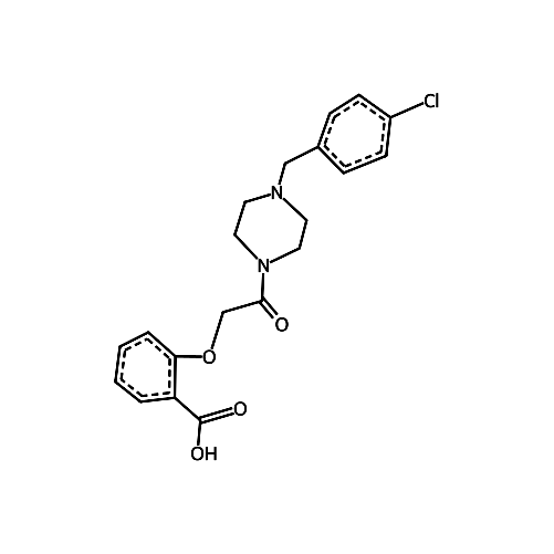 O=C(O)c1ccccc1OCC(=O)N1CCN(Cc2ccc(Cl)cc2)CC1